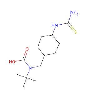 CC(C)(C)N(CC1CCC(NC(N)=S)CC1)C(=O)O